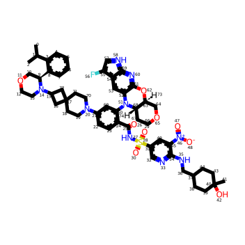 CC(C)c1ccccc1[C@@H]1COCCN1C1CC2(CCN(c3ccc(C(=O)NS(=O)(=O)c4cnc(NCC5CCC(C)(O)CC5)c([N+](=O)[O-])c4)c(N4c5cc6c(F)c[nH]c6nc5O[C@H]5COCC[C@@H]54)c3)CC2)C1